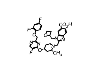 C[C@H]1C[C@@H](Oc2nc(COc3ccc(F)cc3F)ncc2F)CCN1Cc1nc2ccc(C(=O)O)cc2n1C[C@@H]1CCO1